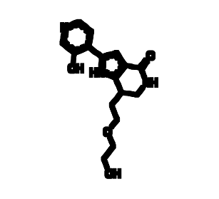 O=C1NCC(CCOCCO)c2[nH]c(-c3ccncc3O)cc21